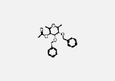 CC(=O)OC1C(C)OC(C)[C@H](OCc2ccccc2)[C@@H]1OCc1ccccc1